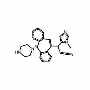 Cn1cncc1C(N=[N+]=[N-])C1=Cc2cccnc2[C@@H](N2CCNCC2)c2ccccc21